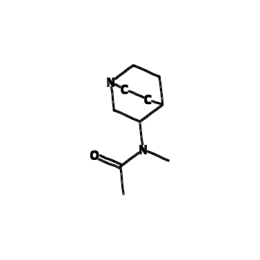 CC(=O)N(C)C1CN2CCC1CC2